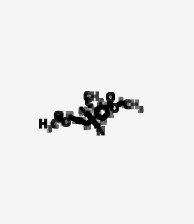 C=C=C[C@@H]1C[C@@H](C(=O)OCC)CC[C@@H]1C(C#N)(C#N)CC#CCOC(C)=O